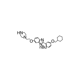 CCCCn1c(-c2cccc(OCC3CCCCC3)c2)nc2ccc(OCCN3CCNCC3)cc21